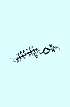 NS(=O)(=O)c1ccc(COS(=O)(=O)C(F)(F)C(F)(F)C(F)(F)C(F)(F)C(F)(F)C(F)(F)C(F)(F)C(F)(F)F)cc1